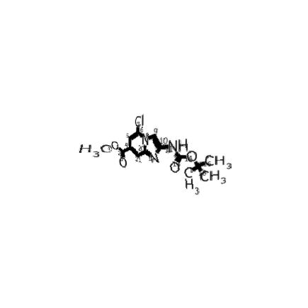 COC(=O)c1cc(Cl)n2cc(NC(=O)OC(C)(C)C)nc2c1